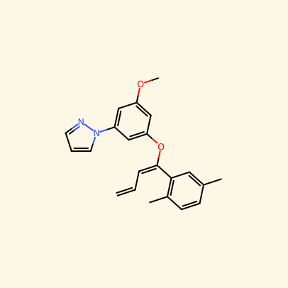 C=C/C=C(/Oc1cc(OC)cc(-n2cccn2)c1)c1cc(C)ccc1C